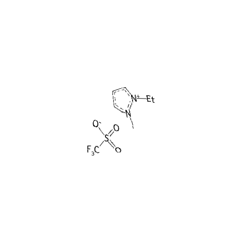 CC[n+]1cccn1C.O=S(=O)([O-])C(F)(F)F